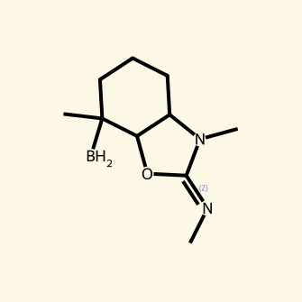 BC1(C)CCCC2C1O/C(=N\C)N2C